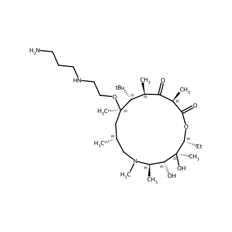 CC[C@H]1OC(=O)[C@H](C)C(=O)[C@H](C)[C@@H](C(C)(C)C)[C@](C)(OCCNCCCN)C[C@@H](C)CN(C)[C@H](C)[C@@H](O)[C@]1(C)O